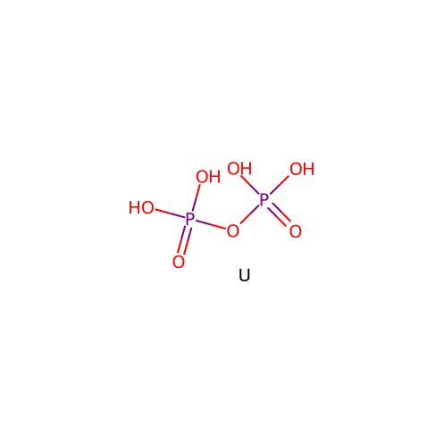 O=P(O)(O)OP(=O)(O)O.[U]